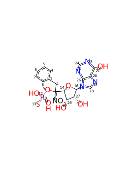 O=[N+]([O-])C(Cc1ccccc1)(OP(O)(O)=S)[C@H]1O[C@@H](n2cnc3c(O)ncnc32)[C@H](O)[C@@H]1O